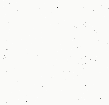 COc1cc2cc(C(C)C)c(Cl)nc2cc1OC